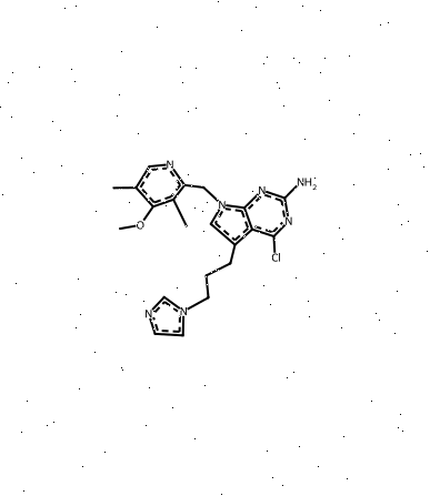 COc1c(C)cnc(Cn2cc(CCCn3ccnc3)c3c(Cl)nc(N)nc32)c1C